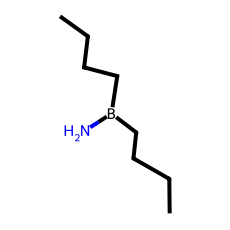 CCCCB(N)CCCC